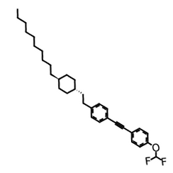 CCCCCCCCCC[C@H]1CC[C@H](CCc2ccc(C#Cc3ccc(OC(F)F)cc3)cc2)CC1